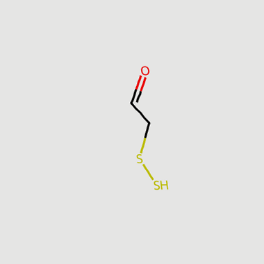 O=CCSS